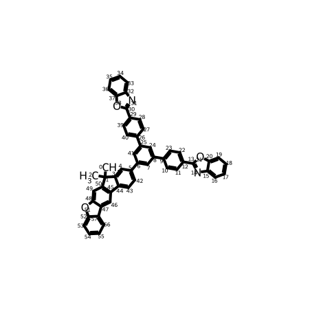 CC1(C)c2cc(-c3cc(-c4ccc(-c5nc6ccccc6o5)cc4)cc(-c4ccc(-c5nc6ccccc6o5)cc4)c3)ccc2-c2cc3c(cc21)oc1ccccc13